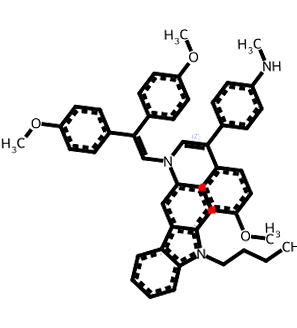 CCCCn1c2ccccc2c2cc(N(C=C(c3ccc(OC)cc3)c3ccc(OC)cc3)/C=C(/c3ccc(NC)cc3)c3ccc(OC)cc3)ccc21